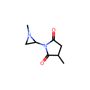 CC1CC(=O)N(C2CN2C)C1=O